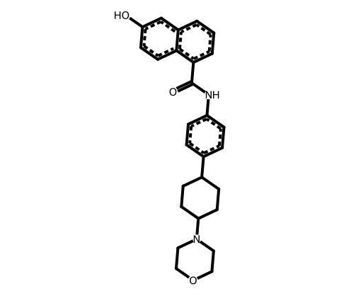 O=C(Nc1ccc(C2CCC(N3CCOCC3)CC2)cc1)c1cccc2cc(O)ccc12